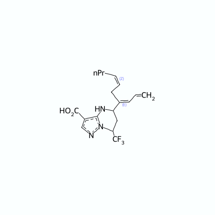 C=C/C=C(\C/C=C\CCC)C1CC(C(F)(F)F)n2ncc(C(=O)O)c2N1